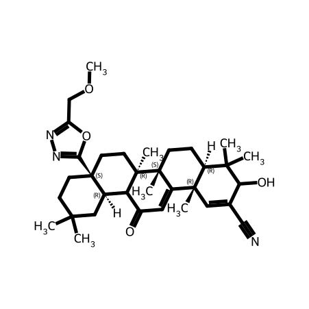 COCc1nnc([C@]23CCC(C)(C)C[C@@H]2C2C(=O)C=C4[C@@]5(C)C=C(C#N)C(O)C(C)(C)[C@@H]5CC[C@@]4(C)[C@]2(C)CC3)o1